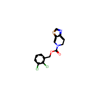 O=C(OCc1cccc(Cl)c1Cl)N1C=c2scnc2=CC1